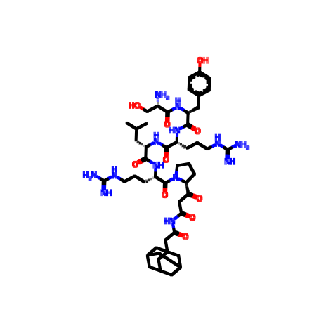 CC(C)C[C@H](NC(=O)[C@@H](CCCNC(=N)N)NC(=O)[C@H](Cc1ccc(O)cc1)NC(=O)[C@@H](N)CO)C(=O)N[C@@H](CCCNC(=N)N)C(=O)N1CCC[C@H]1C(=O)CC(=O)NC(=O)CC12CC3CC(CC(C3)C1)C2